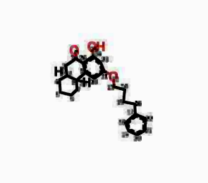 O=C1C[C@@H]2CCCC[C@H]2c2cc(OCCCCc3ccccc3)cc(O)c21